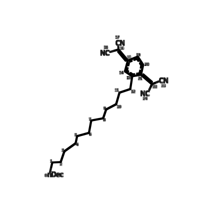 CCCCCCCCCCCCCCCCCCCCCCc1cc(=C(C#N)C#N)ccc1=C(C#N)C#N